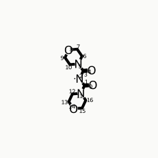 O=C([N]C(=O)N1CCOCC1)N1CCOCC1